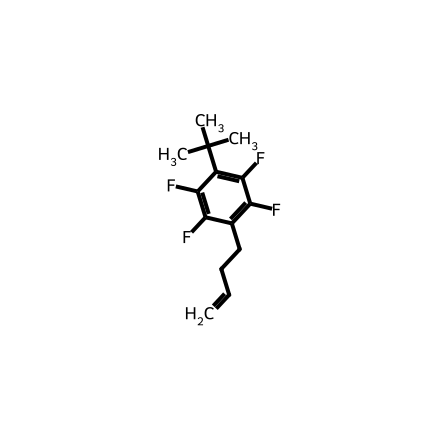 C=CCCc1c(F)c(F)c(C(C)(C)C)c(F)c1F